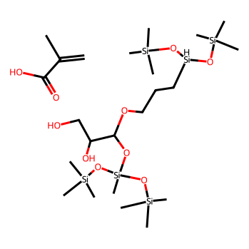 C=C(C)C(=O)O.C[Si](C)(C)O[SiH](CCCOC(O[Si](C)(O[Si](C)(C)C)O[Si](C)(C)C)C(O)CO)O[Si](C)(C)C